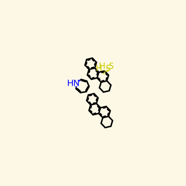 C1=CC=CNC=C1.S.S.c1ccc2c(c1)ccc1c3c(ccc12)CCCC3.c1ccc2c(c1)ccc1c3c(ccc12)CCCC3